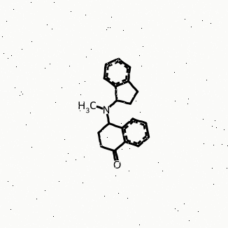 CN(C1CCc2ccccc21)C1CCC(=O)c2ccccc21